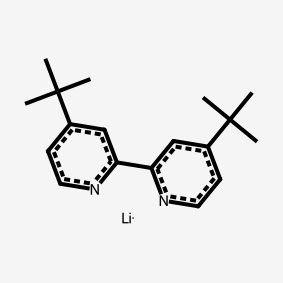 CC(C)(C)c1ccnc(-c2cc(C(C)(C)C)ccn2)c1.[Li]